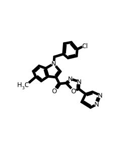 Cc1ccc2c(c1)c(C(=O)c1nnc(-c3ccnnc3)o1)cn2Cc1ccc(Cl)cc1